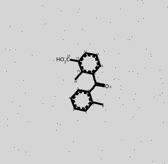 Cc1ccccc1C(=O)c1cccc(C(=O)O)c1C